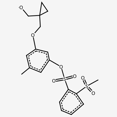 Cc1cc(OCC2(C[O])CC2)cc(OS(=O)(=O)c2ccccc2S(C)(=O)=O)c1